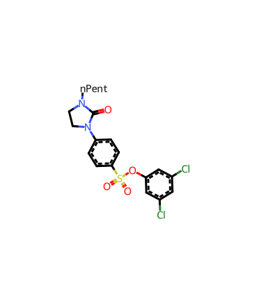 CCCCCN1CCN(c2ccc(S(=O)(=O)Oc3cc(Cl)cc(Cl)c3)cc2)C1=O